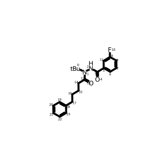 CC(C)(C)N(NC(=O)c1cccc(F)c1)C(=O)CCCCc1ccccc1